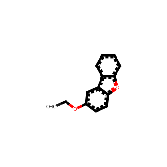 O=CCOc1ccc2oc3ccccc3c2c1